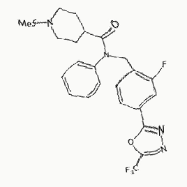 CSN1CCC(C(=O)N(Cc2ccc(-c3nnc(C(F)(F)F)o3)cc2F)c2ccccc2)CC1